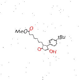 COC(=O)CCCCCCC1C(=O)CC(O)C1c1ccc(C(C)(C)C)cc1